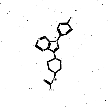 O=C(O)NC1CCC(c2cn(-c3ccc(Cl)cc3)c3cnccc23)CC1